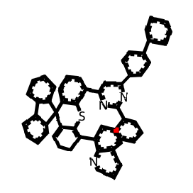 C1=C2C(=C(c3cccc4cccnc34)CC1)Sc1c(-c3cc(-c4ccc(-c5ccccc5)cc4)nc(-c4ccccc4)n3)cccc1C21c2ccccc2-c2ccccc21